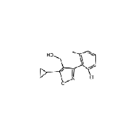 Cc1cccc(Cl)c1-c1noc(C2CC2)c1CO